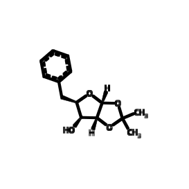 CC1(C)O[C@H]2O[C@H](Cc3ccccc3)[C@H](O)[C@H]2O1